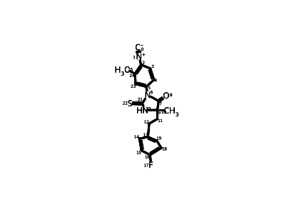 [C-]#[N+]c1ccc(N2C(=O)[C@](C)(CCc3ccc(F)cc3)NC2=S)cc1C